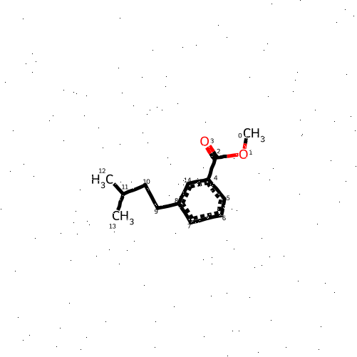 COC(=O)c1cccc(CCC(C)C)c1